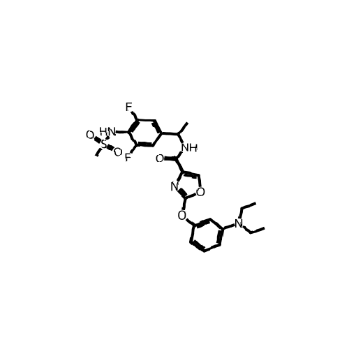 CCN(CC)c1cccc(Oc2nc(C(=O)NC(C)c3cc(F)c(NS(C)(=O)=O)c(F)c3)co2)c1